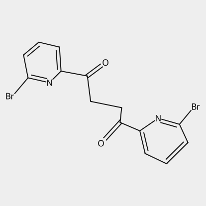 O=C(CCC(=O)c1cccc(Br)n1)c1cccc(Br)n1